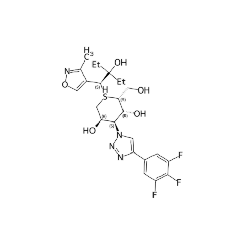 CCC(O)(CC)[C@H](c1conc1C)[SH]1C[C@H](O)[C@H](n2cc(-c3cc(F)c(F)c(F)c3)nn2)[C@@H](O)[C@H]1CO